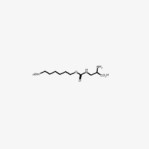 CCCCCCCCCCCCCCCCOC(=O)NCC(N)C(=O)O